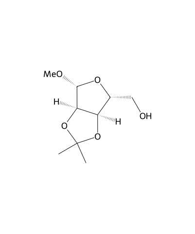 CO[C@@H]1O[C@H](CO)[C@H]2OC(C)(C)O[C@@H]12